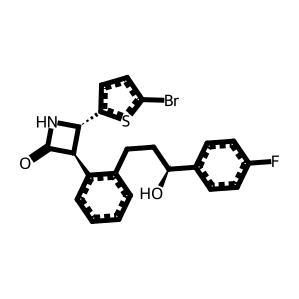 O=C1N[C@H](c2ccc(Br)s2)[C@H]1c1ccccc1CC[C@H](O)c1ccc(F)cc1